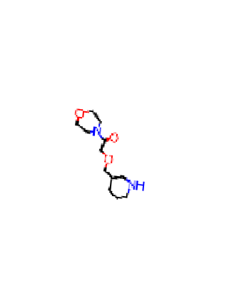 O=C(COCC1CCCNC1)N1CCOCC1